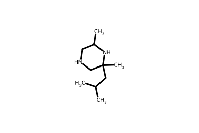 CC(C)CC1(C)CNCC(C)N1